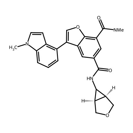 CNC(=O)c1cc(C(=O)NC2[C@H]3COC[C@@H]23)cc2c(-c3cccc4c3ccn4C)coc12